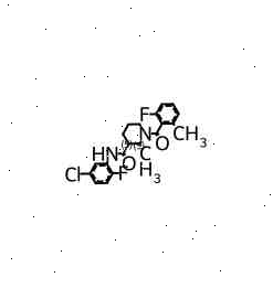 Cc1cccc(F)c1C(=O)N1CCC[C@H](C(=O)Nc2cc(Cl)ccc2F)[C@@H]1C